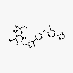 COC(=O)C(Cn1nnc(-c2ccc(Oc3ncc(-c4ncco4)cc3F)cc2)n1)NC(=O)OC(C)(C)C